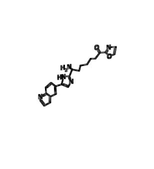 N[C@@H](CCCCCC(=O)c1ncco1)c1ncc(-c2ccc3ncccc3c2)[nH]1